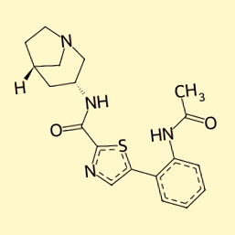 CC(=O)Nc1ccccc1-c1cnc(C(=O)N[C@@H]2C[C@@H]3CCN(C3)C2)s1